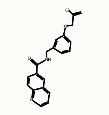 C=C(Cl)COc1cccc(CNC(=O)c2ccc3ncccc3c2)c1